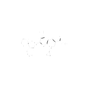 Cl.NCC1CN(c2nc3c(cc2F)C=C(C(=O)O)CN3C2CC2)CC12OCCO2